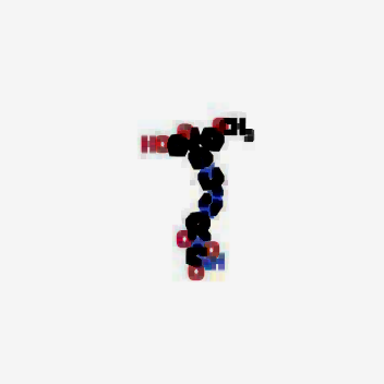 COc1cccc(C2COc3cc(O)ccc3C2c2ccc(N3CCC(CN4CCN(c5ccc6c(c5)CN(C5CCC(=O)NC5=O)C6=O)CC4)CC3)cc2)c1